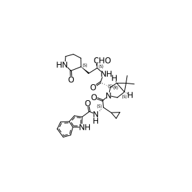 CC1(C)[C@@H]2[C@@H](C(=O)N[C@H](C=O)C[C@@H]3CCCNC3=O)N(C(=O)[C@@H](NC(=O)c3cc4ccccc4[nH]3)C3CC3)C[C@@H]21